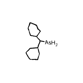 [AsH2]C(C1CCCCC1)C1CCCCC1